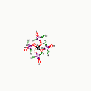 O=P(F)(F)O[B-](OP(=O)(F)F)(OP(=O)(F)F)OP(=O)(F)F